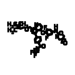 C[Si](C)(C)CCOCn1cc(-c2ccc(C(=O)N3CC(F)(F)C3)cc2)c2c(Oc3c(F)cc(NC4=NCC5(COC5)CO4)cc3F)ccnc21